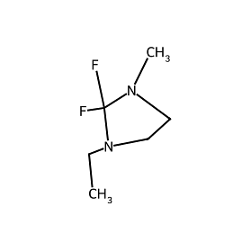 CCN1CCN(C)C1(F)F